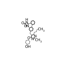 CCCCc1nc(C)nc(OC2CCC(O)CC2)c1Cc1ccc(-c2ccccc2-c2noc(=O)[nH]2)cc1